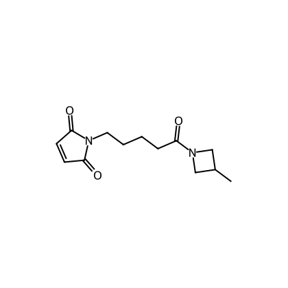 CC1CN(C(=O)CCCCN2C(=O)C=CC2=O)C1